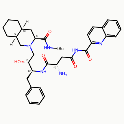 CC(C)(C)NC(=O)[C@@H]1C[C@@H]2CCCC[C@@H]2CN1C[C@@H](O)[C@H](Cc1ccccc1)NC(=O)[C@@H](N)CC(=O)NC(=O)c1ccc2ccccc2n1